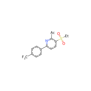 CCS(=O)(=O)c1ccc(-c2ccc(C(F)(F)F)cc2)nc1C(C)=O